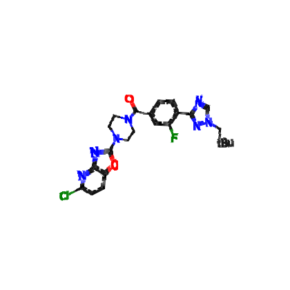 CC(C)(C)Cn1cnc(-c2ccc(C(=O)N3CCN(c4nc5nc(Cl)ccc5o4)CC3)cc2F)n1